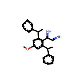 COc1cc(C(C)c2ccccc2)c(C(=N)C=N)c(C(C)c2ccccc2)c1